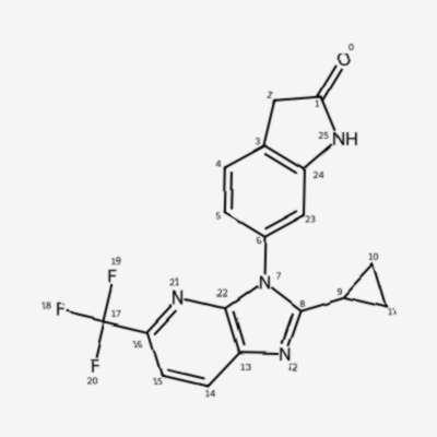 O=C1Cc2ccc(-n3c(C4CC4)nc4ccc(C(F)(F)F)nc43)cc2N1